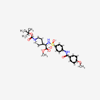 COC(=O)C(NS(=O)(=O)c1ccc(NC(=O)c2ccc(OC)cc2)cc1)C1CCN(C(=O)OC(C)(C)C)CC1